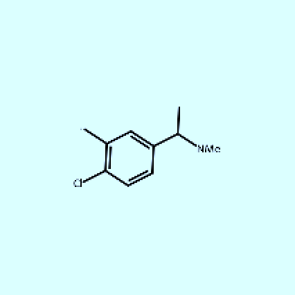 [CH2]c1cc(C(C)NC)ccc1Cl